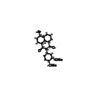 COc1ccc(N2C(=O)c3cccc4c(Br)ccc(c34)C2=O)cc1OC